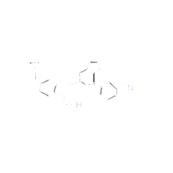 NCc1cccc(-c2cc(COc3cc(CC4CC4)ccc3CC(=O)O)cc3ccoc23)c1